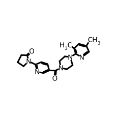 Cc1cnc(N2CCN(C(=O)c3ccc(N4CCCC4=O)nc3)CC2)c(C)c1